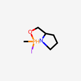 C[PH]1(I)OCC2CCCN21